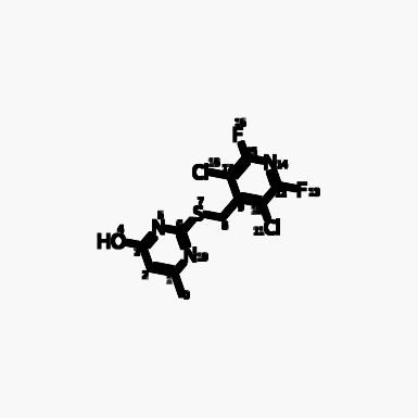 Cc1cc(O)nc(SCc2c(Cl)c(F)nc(F)c2Cl)n1